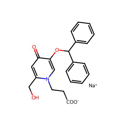 O=C([O-])CCn1cc(OC(c2ccccc2)c2ccccc2)c(=O)cc1CO.[Na+]